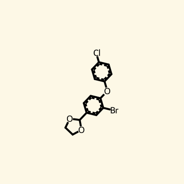 Clc1ccc(Oc2ccc(C3OCCO3)cc2Br)cc1